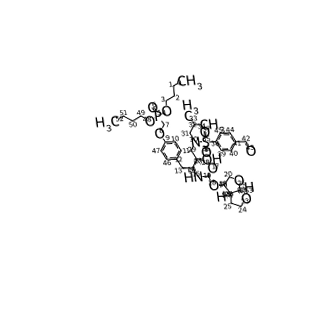 CCCCOP(=O)(COc1ccc(C[C@H](NC(=O)O[C@H]2CO[C@H]3OCC[C@H]32)[C@H](O)CN(CC(C)C)S(=O)(=O)c2ccc(C=O)cc2)cc1)OCCCC